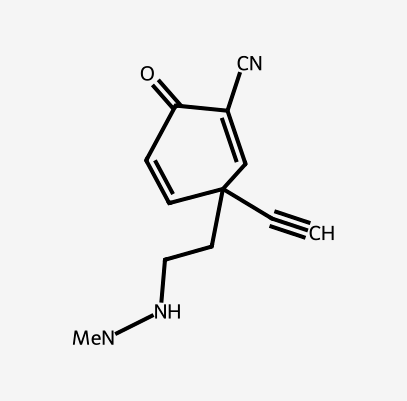 C#CC1(CCNNC)C=CC(=O)C(C#N)=C1